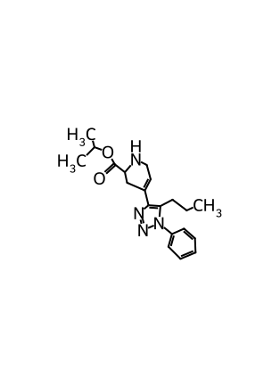 CCCc1c(C2=CCNC(C(=O)OC(C)C)C2)nnn1-c1ccccc1